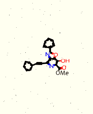 COC(=O)c1nc(C#Cc2ccccc2)c2nc(-c3ccccc3)oc2c1O